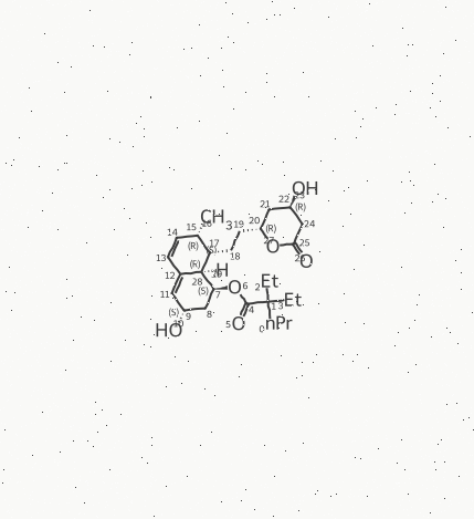 CCCC(CC)(CC)C(=O)O[C@H]1C[C@H](O)C=C2C=C[C@H](C)[C@H](CC[C@@H]3C[C@@H](O)CC(=O)O3)[C@H]21